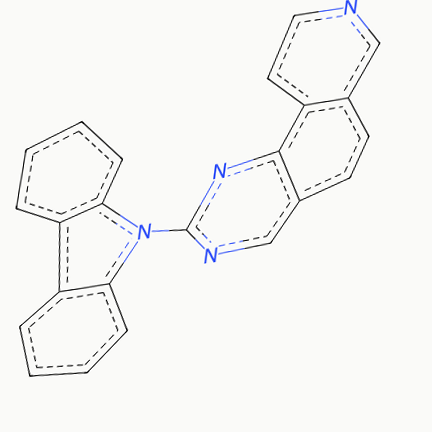 c1ccc2c(c1)c1ccccc1n2-c1ncc2ccc3cnccc3c2n1